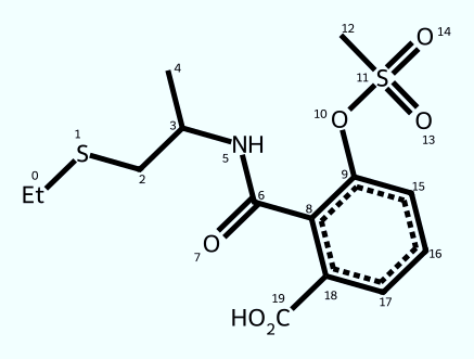 CCSCC(C)NC(=O)c1c(OS(C)(=O)=O)cccc1C(=O)O